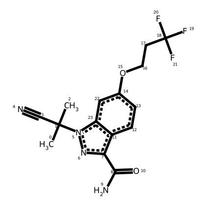 CC(C)(C#N)n1nc(C(N)=O)c2ccc(OCCC(F)(F)F)cc21